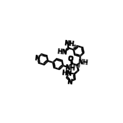 N=C(N)c1cccc(N[C@@H](Cc2cnc[nH]2)C(=O)Nc2ccc(-c3ccncc3)cc2)c1